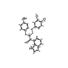 CC(C)(C)c1ccc(CN(CCc2ccc(Cl)c(Cl)c2)C(=O)c2nccc3cn[nH]c23)cc1